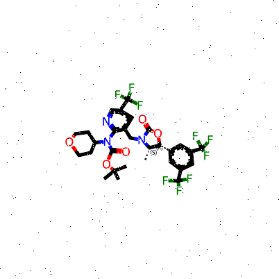 C[C@H]1[C@@H](c2cc(C(F)(F)F)cc(C(F)(F)F)c2)OC(=O)N1Cc1cc(C(F)(F)F)cnc1N(C(=O)OC(C)(C)C)C1CCOCC1